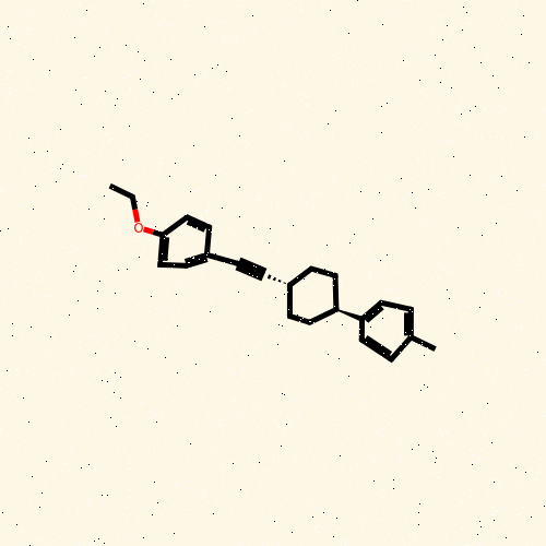 CCOc1ccc(C#C[C@H]2CC[C@H](c3ccc(C)cc3)CC2)cc1